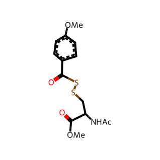 COC(=O)C(CSSC(=O)c1ccc(OC)cc1)NC(C)=O